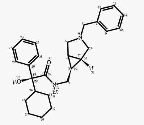 CCN(C[C@H]1C2CN(Cc3ccccc3)C[C@@H]21)C(=O)[C@@](O)(c1ccccc1)C1CCCCC1